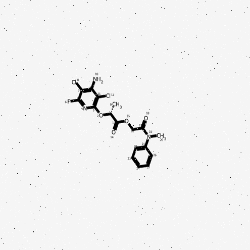 C[C@@H](Oc1nc(F)c(Cl)c(N)c1Cl)C(=O)OCC(=O)N(C)c1ccccc1